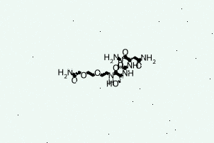 NNC(=O)[C@@H](CC(N)=O)NC(=O)N[C@H](CO)C(=O)NCCOCCOCC(N)=O